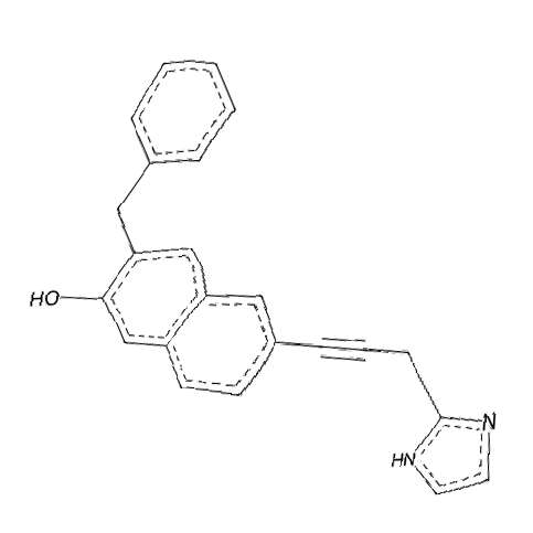 Oc1cc2ccc(C#CCc3ncc[nH]3)cc2cc1Cc1ccccc1